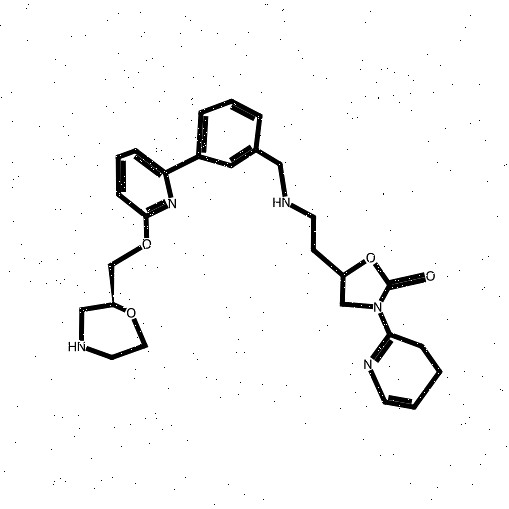 O=C1OC(CCNCc2cccc(-c3cccc(OC[C@@H]4CNCCO4)n3)c2)CN1C1=NC=CCC1